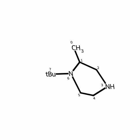 CC1CNCCN1C(C)(C)C